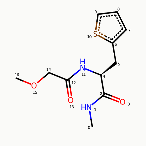 CNC(=O)[C@H](Cc1cccs1)NC(=O)COC